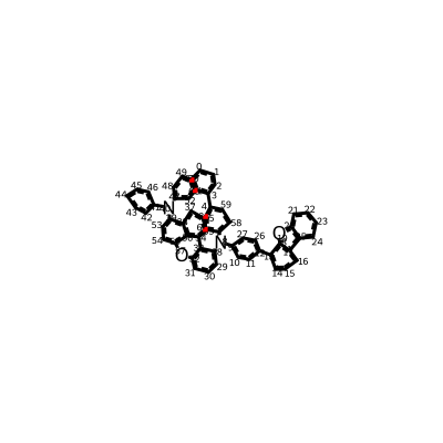 c1ccc(-c2ccc(N(c3ccc(-c4cccc5c4oc4ccccc45)cc3)c3cccc4c3-c3cccc5c(N(c6ccccc6)c6ccccc6)ccc(c35)O4)cc2)cc1